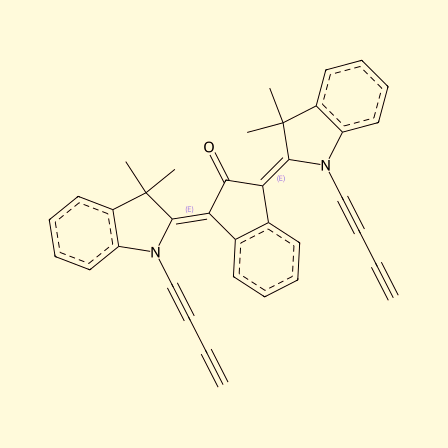 C#CC#CN1/C(=C2/C(=O)/C(=C3/N(C#CC#C)c4ccccc4C3(C)C)c3ccccc32)C(C)(C)c2ccccc21